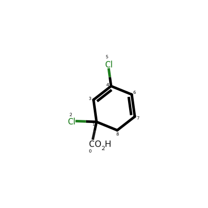 O=C(O)C1(Cl)C=C(Cl)C=CC1